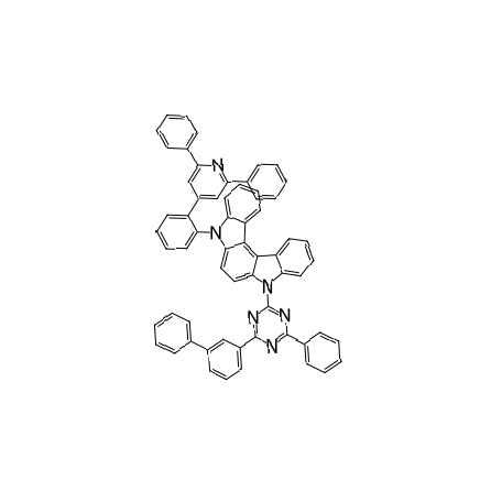 c1ccc(-c2cccc(-c3nc(-c4ccccc4)nc(-n4c5ccccc5c5c6c7ccccc7n(-c7ccccc7-c7cc(-c8ccccc8)nc(-c8ccccc8)c7)c6ccc54)n3)c2)cc1